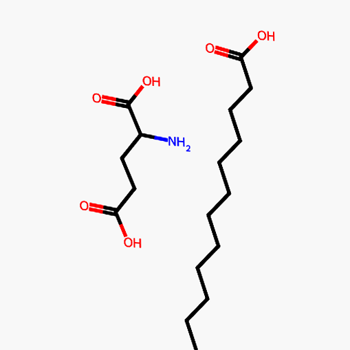 CCCCCCCCCCCC(=O)O.NC(CCC(=O)O)C(=O)O